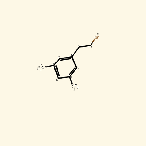 FC(F)(F)c1cc(CCBr)cc(C(F)(F)F)c1